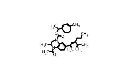 C=C(C)/C(=C\C(=C)c1ccc2c(c1)N(C(=O)OC(C)C1=CC=C(C)CCC1)CC(C)N2C(C)=O)CCC